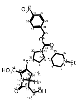 CCN1CCC([C@@H]2C[C@H](SC3=C(C(=O)O)N4C(=O)[C@H]([C@@H](C)O)[C@H]4[C@H]3C)CN2C(=O)OCc2ccc([N+](=O)[O-])cc2)CC1